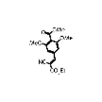 CCOC(=O)/C(C#N)=C/c1cc(OC)c(C(=O)OC)c(OC)c1